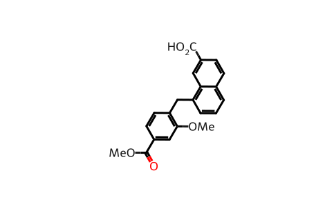 COC(=O)c1ccc(Cc2cccc3ccc(C(=O)O)cc23)c(OC)c1